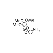 COc1cc(OS(=O)(=O)c2cccc(N)c2)cc(OC)c1OC